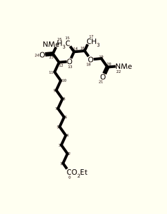 CCOC(=O)CCCCCCCCCCCC(OC(C)C(C)OCC(=O)NC)C(=O)NC